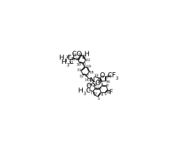 Cc1ccc2cc(F)ccc2c1S(=O)(=O)N(Cc1ccc(-c2cccc(C(C)(C)C(=O)O)c2)cc1)Cc1ccc(C(F)(F)F)o1